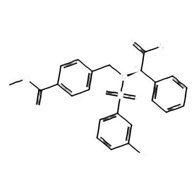 COC(=O)c1ccc(CN([C@@H](C(N)=O)c2ccccc2)S(=O)(=O)c2cccc(Br)c2)cc1